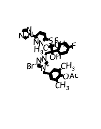 CC(=O)Oc1c(C)cc(C[n+]2cnn(CC(O)(c3ccc(F)cc3F)C(C)(C)Sc3ccc(-n4cncn4)nn3)c2)cc1C.[Br-]